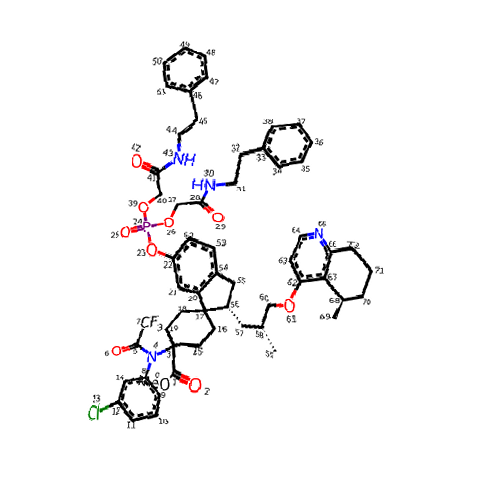 COC(=O)C1(N(C(=O)C(F)(F)F)c2cccc(Cl)c2)CCC2(CC1)c1cc(OP(=O)(OCC(=O)NCCc3ccccc3)OCC(=O)NCCc3ccccc3)ccc1C[C@@H]2C[C@@H](C)COc1ccnc2c1[C@H](C)CCC2